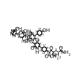 CC(=O)N(C(=O)[C@@H](N)CCC(N)=O)c1ccc(-c2ccc(CN(C(=O)C(N)c3ccc(O)cc3)C3C(=O)N4C(C(=O)O)=C(CSc5nnnn5C)CS[C@@H]34)c(=O)[nH]2)cc1